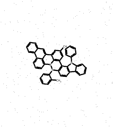 Cc1cc2c3c(c1)-c1c(ccc4c5ccccc5n(-c5ccccc5)c14)N(c1ccccc1C)B3c1cccc3c1c-2cc1ccccc13